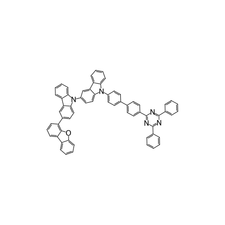 c1ccc(-c2nc(-c3ccccc3)nc(-c3ccc(-c4ccc(-n5c6ccccc6c6cc(-n7c8ccccc8c8cc(-c9cccc%10c9oc9ccccc9%10)ccc87)ccc65)cc4)cc3)n2)cc1